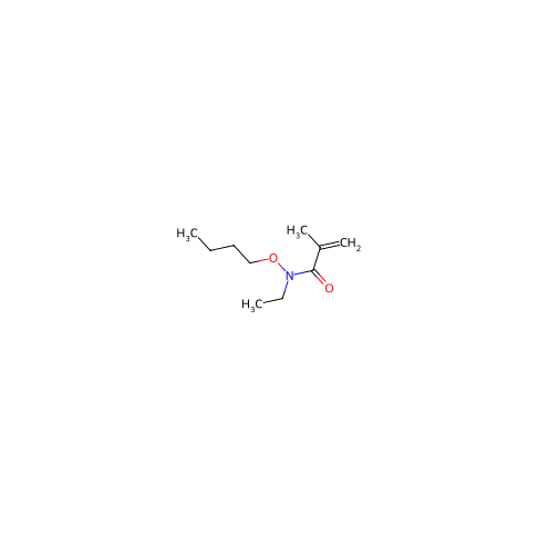 C=C(C)C(=O)N(CC)OCCCC